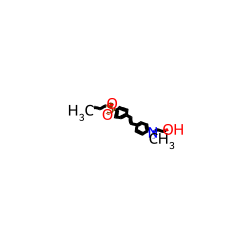 CCCCS(=O)(=O)c1ccc(C=Cc2ccc(N(C)CCO)cc2)cc1